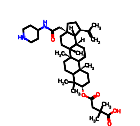 C=C(C)[C@@H]1CC[C@]2(CC(=O)NC3CCNCC3)CC[C@]3(C)[C@H](CCC4[C@@]5(C)CC[C@H](OC(=O)CC(C)(C)C(=O)O)C(C)(C)C5CC[C@]43C)[C@@H]12